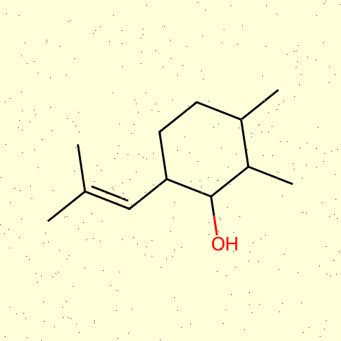 CC(C)=CC1CCC(C)C(C)C1O